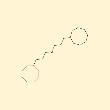 C1CCCC(CCCOCCCC2CCCCCCC2)CCC1